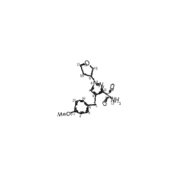 COc1ccc(Cc2cn(C3CCOC3)nc2S(N)(=O)=O)cc1